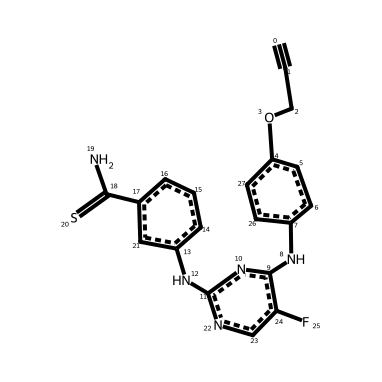 C#CCOc1ccc(Nc2nc(Nc3cccc(C(N)=S)c3)ncc2F)cc1